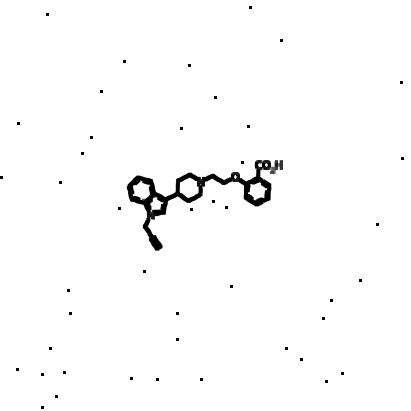 C#CCn1cc(C2CCN(CCOc3ccccc3C(=O)O)CC2)c2ccccc21